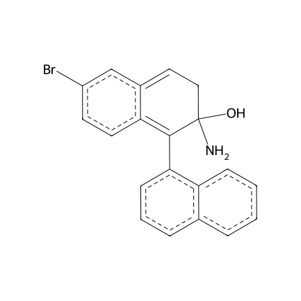 NC1(O)CC=c2cc(Br)ccc2=C1c1cccc2ccccc12